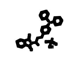 CC(CCc1ccc(P(c2ccccc2)c2ccccc2)cc1)N1C(=O)c2ccccc2C1=O.CS(=O)(=O)O